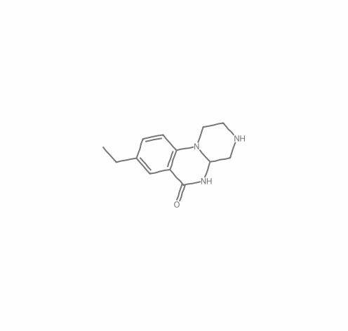 CCc1ccc2c(c1)C(=O)NC1CNCCN21